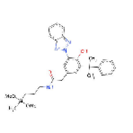 CO[Si](C)(CCCNC(=O)Cc1cc(-n2nc3ccccc3n2)c(O)c(C(C)(C)c2ccccc2)c1)OC